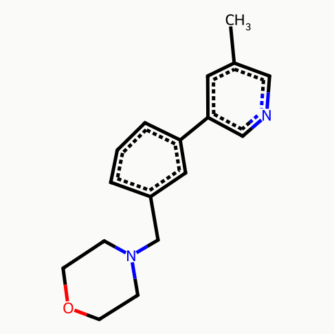 Cc1cncc(-c2cccc(CN3CCOCC3)c2)c1